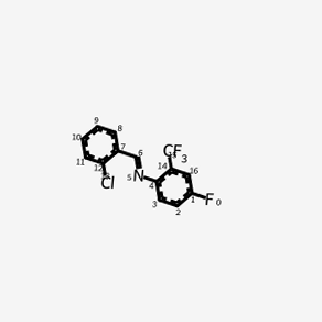 Fc1ccc(N=Cc2ccccc2Cl)c(C(F)(F)F)c1